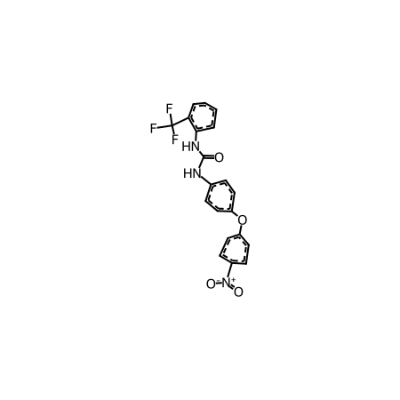 O=C(Nc1ccc(Oc2ccc([N+](=O)[O-])cc2)cc1)Nc1ccccc1C(F)(F)F